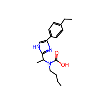 CCCCN(C(=O)O)C(C)c1nc(-c2ccc(CC)cc2)c[nH]1